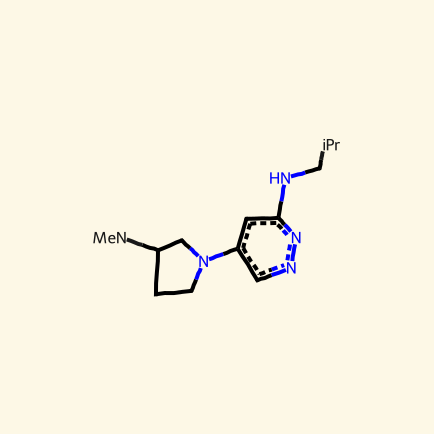 CNC1CCN(c2cnnc(NCC(C)C)c2)C1